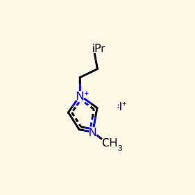 CC(C)CC[n+]1ccn(C)c1.[I+]